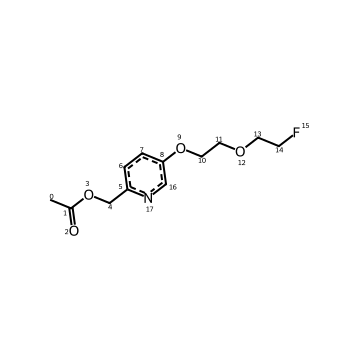 CC(=O)OCc1ccc(OCCOCCF)cn1